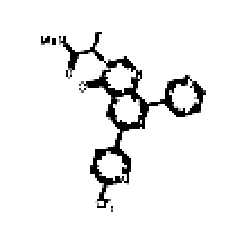 CNC(=O)C(C)n1cnc2c(-c3cccnc3)nc(-c3ccc(C(F)(F)F)nc3)cc2c1=O